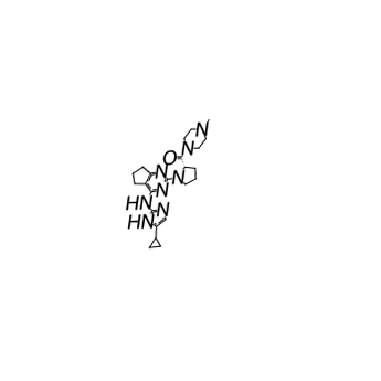 CN1CCN(C(=O)[C@@H]2CCCN2c2nc3c(c(Nc4ncc(C5CC5)[nH]4)n2)CCC3)CC1